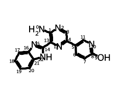 Nc1ncc(-c2ccc(O)nc2)nc1-c1nc2ccccc2[nH]1